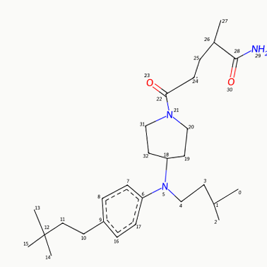 CC(C)CCN(c1ccc(CCC(C)(C)C)cc1)C1CCN(C(=O)[CH]CC(C)C(N)=O)CC1